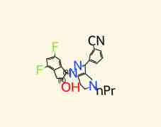 CCCN1CCc2c(c(-c3cccc(C#N)c3)nn2[C@@H]2c3cc(F)cc(F)c3C[C@H]2O)C1